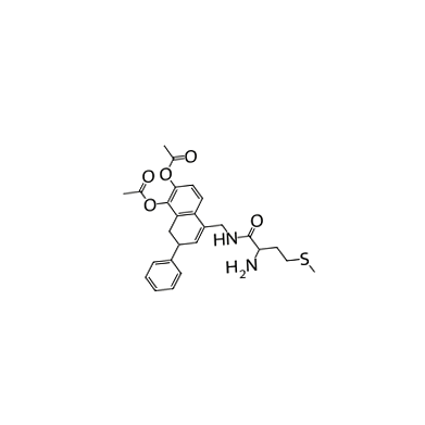 CSCCC(N)C(=O)NCC1=CC(c2ccccc2)Cc2c1ccc(OC(C)=O)c2OC(C)=O